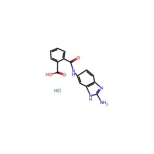 Cl.Nc1nc2ccc(NC(=O)c3ccccc3C(=O)O)cc2[nH]1